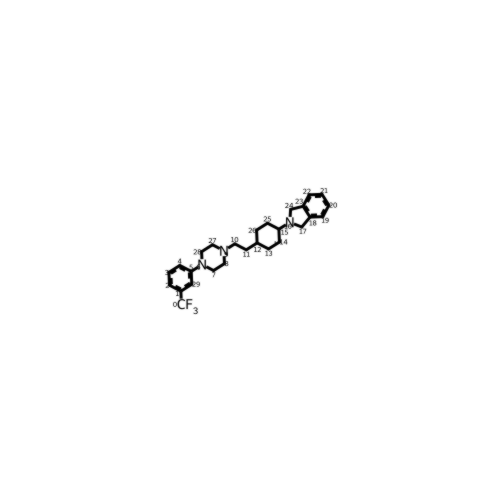 FC(F)(F)c1cccc(N2CCN(CCC3C[CH]C(N4Cc5ccccc5C4)CC3)CC2)c1